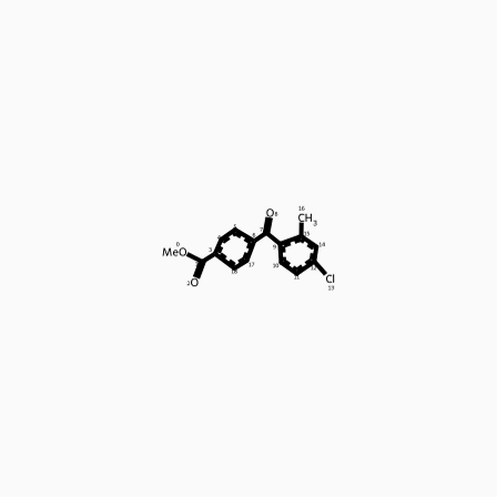 COC(=O)c1ccc(C(=O)c2ccc(Cl)cc2C)cc1